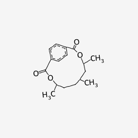 CC1CCC(C)OC(=O)c2ccc(cc2)C(=O)OC(C)C1